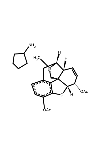 CC(=O)Oc1ccc2c3c1O[C@H]1[C@@H](OC(C)=O)C=C[C@H]4[C@@H](C2)N(C)CC[C@@]341.NC1CCCC1